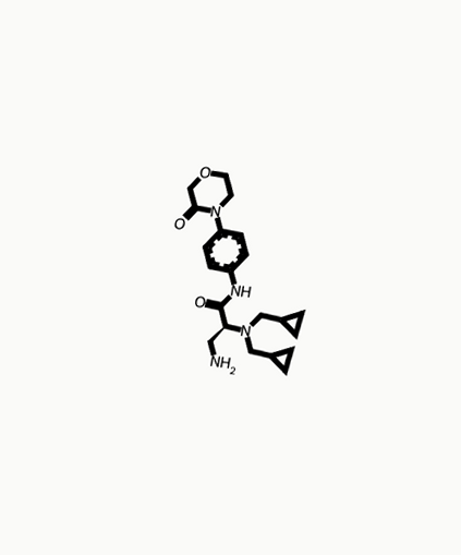 NC[C@@H](C(=O)Nc1ccc(N2CCOCC2=O)cc1)N(CC1CC1)CC1CC1